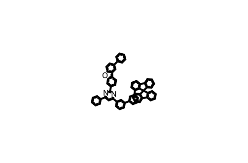 c1ccc(-c2ccc3oc4cc(-c5nc(-c6ccccc6)cc(-c6cccc(-c7cccc(-c8cccc9c8C8(c%10ccccc%10-c%10ccccc%108)c8ccccc8-9)c7)c6)n5)ccc4c3c2)cc1